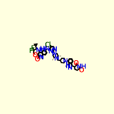 C[C@@H]1CN(c2ncc(Cl)c(Nc3ccc4c(c3)c3c(c(=O)n4C)OCC(F)(F)C(C4CC4)N3)n2)C[C@H](C)N1CC1CCN(c2cccc3c(C4CCC(=O)NC4=O)nn(C)c23)CC1